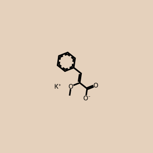 COC(=Cc1ccccc1)C(=O)[O-].[K+]